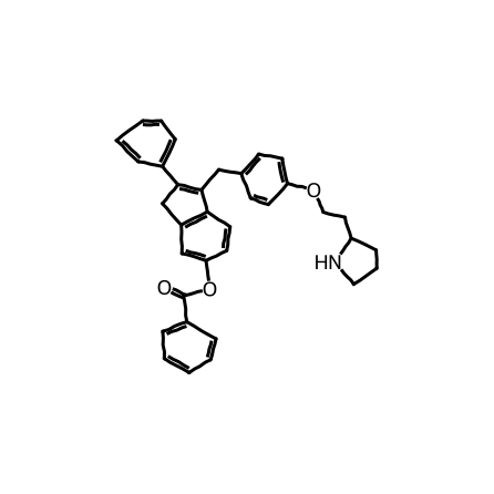 O=C(Oc1ccc2c(c1)CC(c1ccccc1)=C2Cc1ccc(OCCC2CCCN2)cc1)c1ccccc1